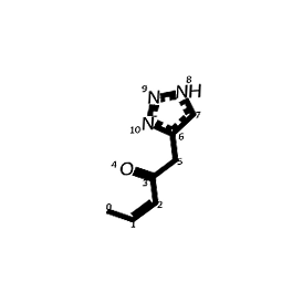 C/C=C\C(=O)Cc1c[nH]nn1